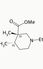 CCN1CC[C@H](C)[C@](C)(C(=O)OC)C1